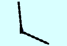 C#CC#CC#CC#CC#CC#C/B=N/C#CC#CC#CC#CC#CC#CC